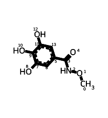 CONC(=O)c1cc(O)c(O)c(O)c1